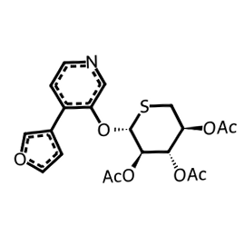 CC(=O)O[C@@H]1[C@@H](OC(C)=O)[C@H](OC(C)=O)CS[C@H]1Oc1cnccc1-c1ccoc1